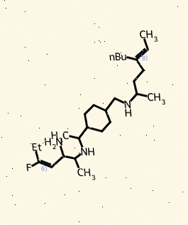 C/C=C(\CCCC)CCC(C)NCC1CCC(C(C)NC(C)C(N)/C=C(/F)CC)CC1